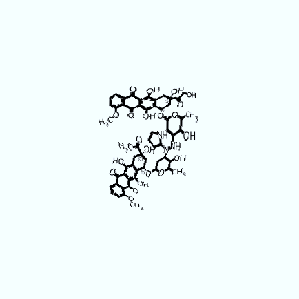 COc1cccc2c1C(=O)c1c(O)c3c(c(O)c1C2=O)C[C@@](O)(C(=O)CO)C[C@@H]3OC1CC(NN(C2CCCN2)C2CC(O[C@H]3C[C@](O)(C(C)=O)Cc4c(O)c5c(c(O)c43)C(=O)c3c(OC)cccc3C5=O)OC(C)C2O)C(O)C(C)O1